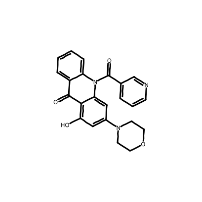 O=C(c1cccnc1)n1c2ccccc2c(=O)c2c(O)cc(N3CCOCC3)cc21